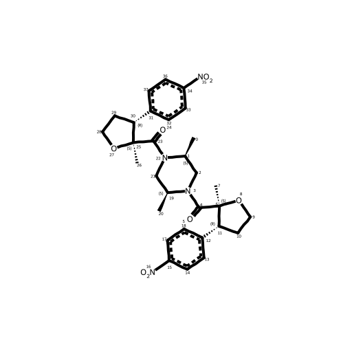 C[C@H]1CN(C(=O)[C@@]2(C)OCC[C@@H]2c2ccc([N+](=O)[O-])cc2)[C@@H](C)CN1C(=O)[C@@]1(C)OCC[C@@H]1c1ccc([N+](=O)[O-])cc1